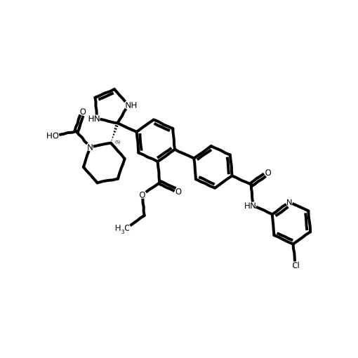 CCOC(=O)c1cc(C2([C@@H]3CCCCN3C(=O)O)NC=CN2)ccc1-c1ccc(C(=O)Nc2cc(Cl)ccn2)cc1